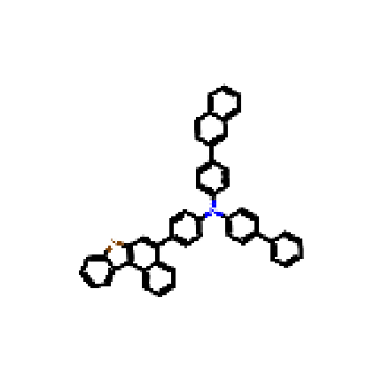 c1ccc(-c2ccc(N(c3ccc(-c4ccc5ccccc5c4)cc3)c3ccc(-c4cc5sc6ccccc6c5c5ccccc45)cc3)cc2)cc1